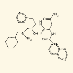 NC(=O)CC(NC(=O)c1ccc2ccccc2n1)C(=O)NC(Cc1ccccc1)C(O)CN(N)CC1CCCCC1